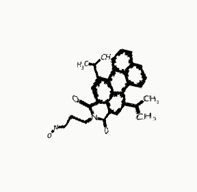 CC(C)c1cc2c3c(cc(C(C)C)c4c5cccc6cccc(c1c34)c65)C(=O)N(CCCN=O)C2=O